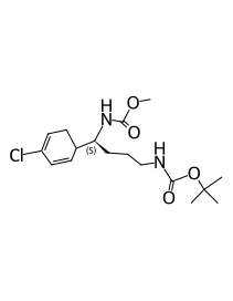 COC(=O)N[C@@H](CCCNC(=O)OC(C)(C)C)C1C=CC(Cl)=CC1